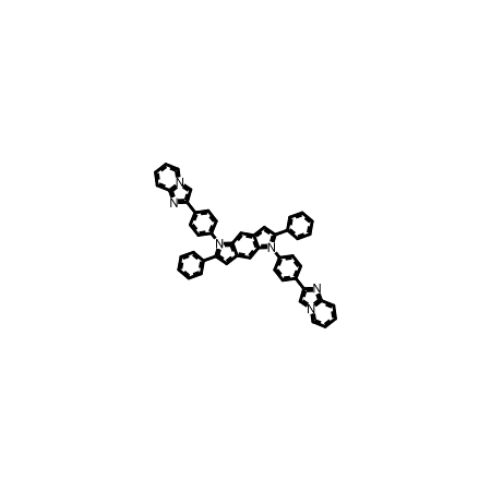 c1ccc(-c2cc3cc4c(cc(-c5ccccc5)n4-c4ccc(-c5cn6ccccc6n5)cc4)cc3n2-c2ccc(-c3cn4ccccc4n3)cc2)cc1